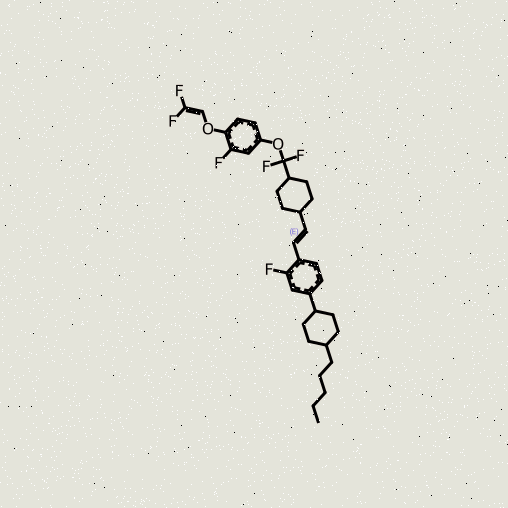 CCCCCC1CCC(c2ccc(/C=C/C3CCC(C(F)(F)Oc4ccc(OC=C(F)F)c(F)c4)CC3)c(F)c2)CC1